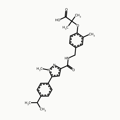 Cc1cc(CNC(=O)c2cc(-c3ccc(C(C)C)cc3)n(C)n2)ccc1OC(C)(C)C(=O)O